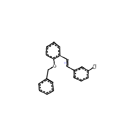 Clc1cccc(/C=C/c2ccccc2OCc2ccccc2)c1